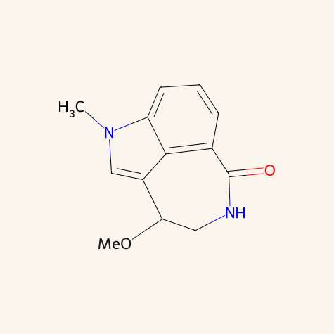 COC1CNC(=O)c2cccc3c2c1cn3C